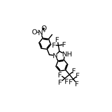 Cc1cc(CN2c3ccc(C(F)(C(F)(F)F)C(F)(F)F)cc3NC2C(F)(F)F)ccc1[N+](=O)[O-]